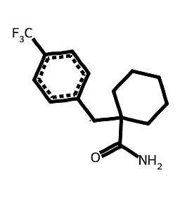 NC(=O)C1([CH]c2ccc(C(F)(F)F)cc2)CCCCC1